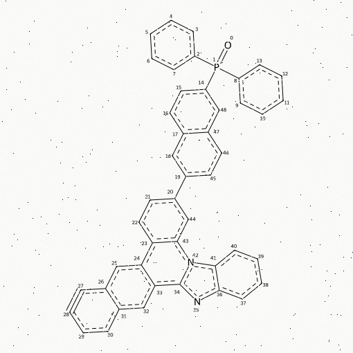 O=P(c1ccccc1)(c1ccccc1)c1ccc2cc(-c3ccc4c5cc6c#cccc6cc5c5nc6ccccc6n5c4c3)ccc2c1